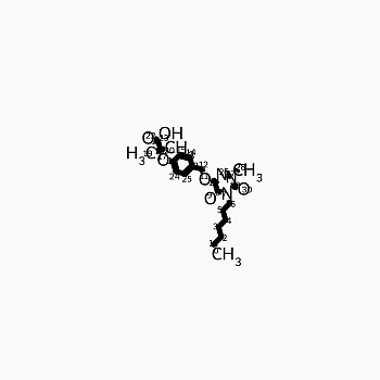 CCCCCCCn1c(=O)c(OCc2ccc(OC(C)(C)C(=O)O)cc2)nn(C)c1=O